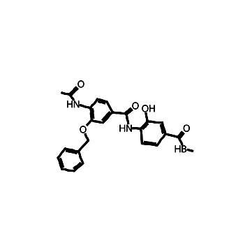 CBC(=O)c1ccc(NC(=O)c2ccc(NC(C)=O)c(OCc3ccccc3)c2)c(O)c1